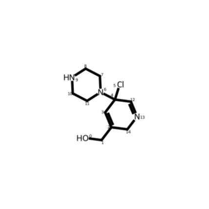 OCC1=CC(Cl)(N2CCNCC2)C=NC1